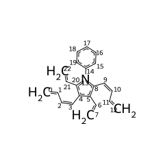 C=C/C=C\c1c(C=C)c(/C=C\C=C)n(-c2ccccc2)c1C=C